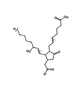 CCCCCC(O)/C=C/C1C(C[N+](=O)[O-])CC(=O)C1C/C=C/CCCC(=O)O